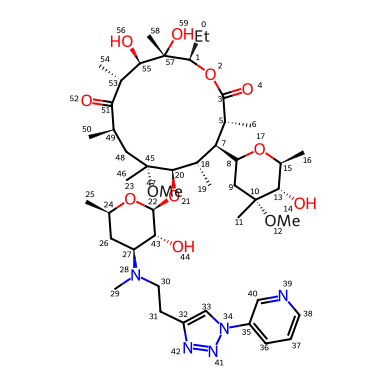 CC[C@H]1OC(=O)[C@H](C)[C@@H](C2C[C@@](C)(OC)[C@@H](O)[C@H](C)O2)[C@H](C)[C@@H](O[C@@H]2O[C@H](C)C[C@H](N(C)CCc3cn(-c4cccnc4)nn3)[C@H]2O)[C@](C)(OC)C[C@@H](C)C(=O)[C@H](C)[C@@H](O)[C@]1(C)O